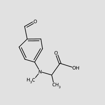 CC(C(=O)O)N(C)c1ccc(C=O)cc1